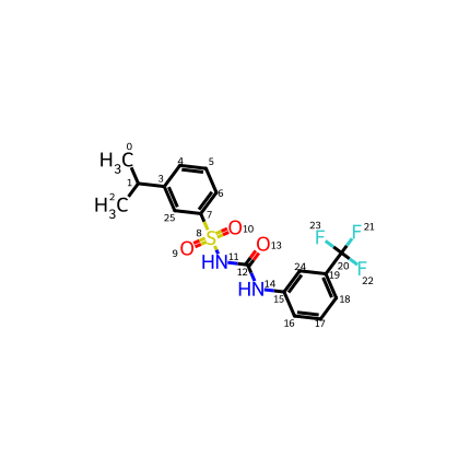 CC(C)c1cccc(S(=O)(=O)NC(=O)Nc2cccc(C(F)(F)F)c2)c1